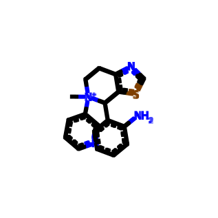 C[N+]1(c2cccnc2)CCc2ncsc2C1c1ccccc1N